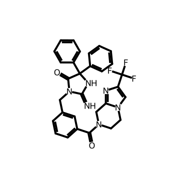 N=C1NC(c2ccccc2)(c2ccccc2)C(=O)N1Cc1cccc(C(=O)N2CCn3cc(C(F)(F)F)nc3C2)c1